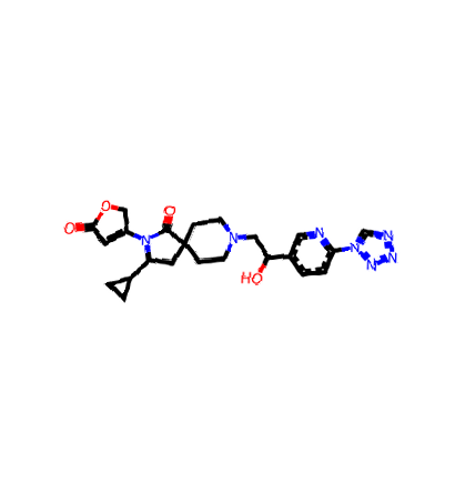 O=C1C=C(N2C(=O)C3(CCN(CC(O)c4ccc(-n5cnnn5)nc4)CC3)CC2C2CC2)CO1